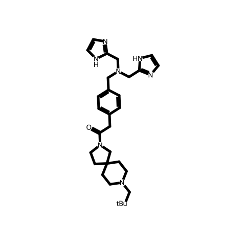 CC(C)(C)CN1CCC2(CC1)CCN(C(=O)Cc1ccc(CN(Cc3ncc[nH]3)Cc3ncc[nH]3)cc1)C2